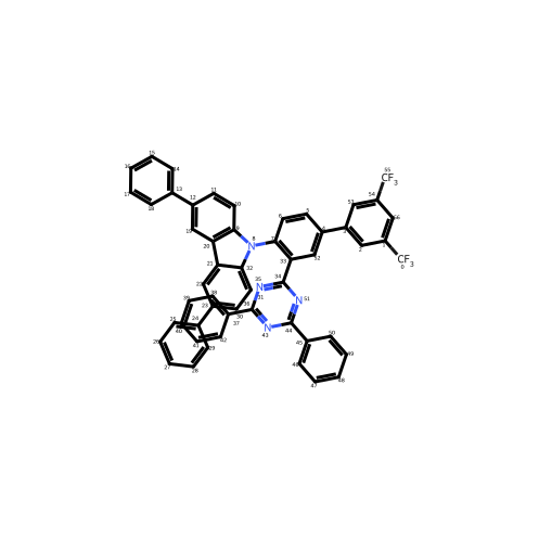 FC(F)(F)c1cc(-c2ccc(-n3c4ccc(-c5ccccc5)cc4c4cc(-c5ccccc5)ccc43)c(-c3nc(-c4ccccc4)nc(-c4ccccc4)n3)c2)cc(C(F)(F)F)c1